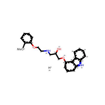 COc1ccccc1OCCNCC(O)COc1cccc2[nH]c3ccccc3c12.[H+]